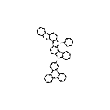 c1ccc(-n2c3ccc4c5ccccc5oc4c3c3ccc4c(c5ccccc5n4-c4ccc5c6ccccc6c6ccccc6c5c4)c32)cc1